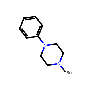 CCC(C)N1CCN(c2ccccc2)CC1